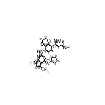 CN/C(=C\C=N)c1ccc(Nc2nc(NC3CCCC3)c3c(C(F)(F)F)c[nH]c3n2)c2c1OCCO2